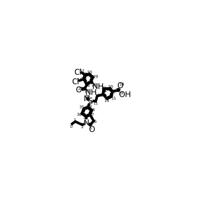 CCCN1C(=O)Cc2cc(S(CCc3ccc(C(=O)O)cc3)=NNC(=O)c3c(N)ccc(Cl)c3Cl)ccc21